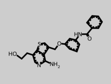 Nc1ncc(CCO)c2scc(COc3cccc(NC(=O)c4ccccc4)c3)c12